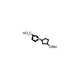 COC1CCC(n2ccc(C(=O)O)c2)C1